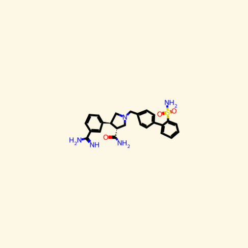 N=C(N)c1cccc([C@H]2CN(Cc3ccc(-c4ccccc4S(N)(=O)=O)cc3)C[C@@H]2C(N)=O)c1